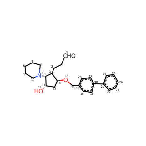 O=CCC[C@@H]1[C@@H](N2CCCCC2)[C@@H](O)C[C@@H]1OCc1ccc(-c2ccccc2)cc1